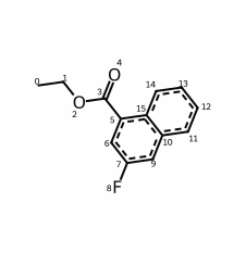 CCOC(=O)c1cc(F)cc2ccccc12